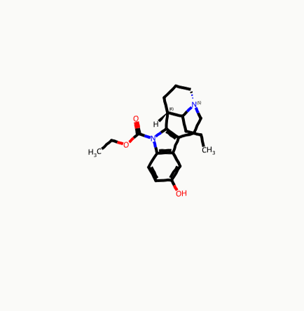 CCCC1[C@H]2CCC[N@]1CCc1c2n(C(=O)OCC)c2ccc(O)cc12